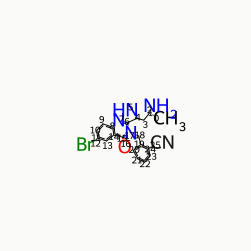 C[C@@H](N)CC(=N)c1nc2ccc(Br)cc2c(=O)n1Cc1ccccc1C#N